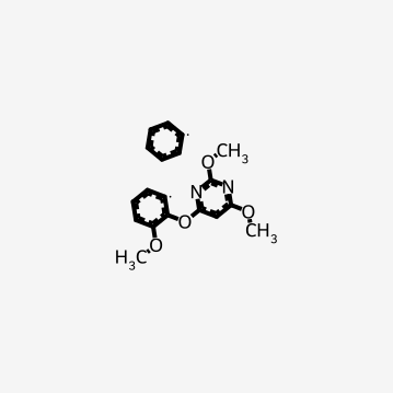 COc1cc(Oc2[c]cccc2OC)nc(OC)n1.[c]1ccccc1